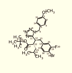 COc1ccc(Cn2nnnc2[C@@H](Cc2ccc(Br)c(F)c2)[C@H](CC(C)C)C(=O)OC(C)(C)C)cc1